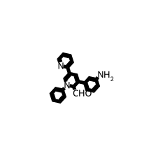 Nc1cccc(C2=CC(c3ccccn3)=CN(c3ccccc3)C2C=O)c1